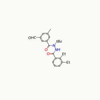 CCc1cccc(C(=O)NN(C(=O)c2cc(C)cc(C=O)c2)C(C)(C)C)c1CC